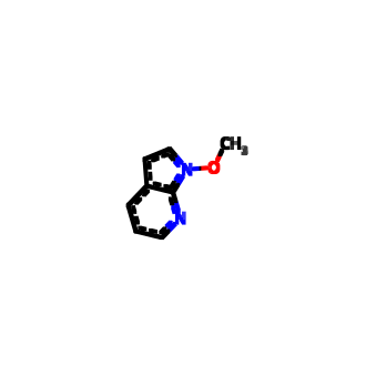 COn1ccc2cccnc21